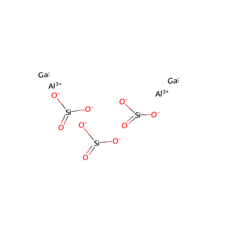 O=[Si]([O-])[O-].O=[Si]([O-])[O-].O=[Si]([O-])[O-].[Al+3].[Al+3].[Ga].[Ga]